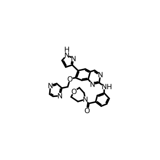 O=C(c1cccc(Nc2ncc3cc(-c4cc[nH]n4)c(OCc4cnccn4)cc3n2)c1)N1CCOCC1